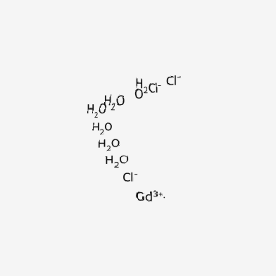 O.O.O.O.O.O.[Cl-].[Cl-].[Cl-].[Gd+3]